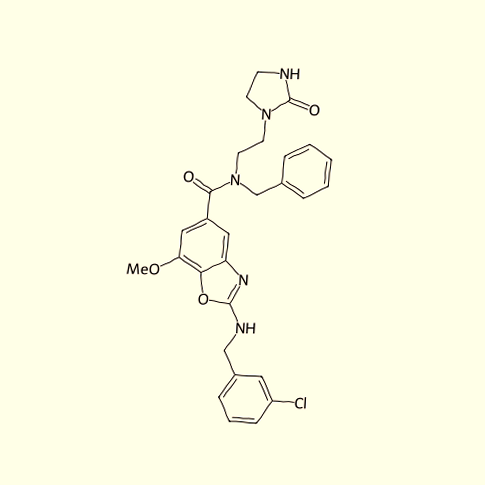 COc1cc(C(=O)N(CCN2CCNC2=O)Cc2ccccc2)cc2nc(NCc3cccc(Cl)c3)oc12